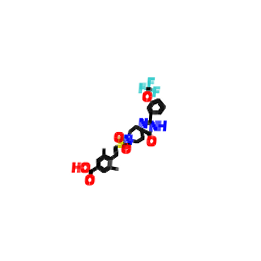 Cc1cc(C(=O)O)cc(C)c1/C=C/S(=O)(=O)N1CCC2(CC1)N=C(c1cccc(OC(F)(F)F)c1)NC2=O